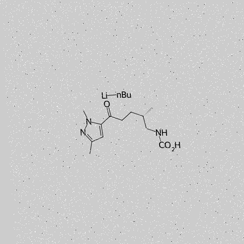 Cc1cc(C(=O)CC[C@H](C)CNC(=O)O)n(C)n1.[Li][CH2]CCC